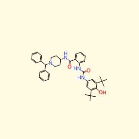 CC(C)(C)c1cc(NC(=O)Nc2ccccc2C(=O)NC2CCN(C(c3ccccc3)c3ccccc3)CC2)cc(C(C)(C)C)c1O